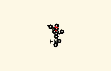 Cc1ccc(N(c2ccccc2)c2ccc3c(c2)C(Cc2ccccc2)(Cc2ccccc2)c2cc(-c4cccc5c4[nH]c4ccccc45)ccc2-3)cc1